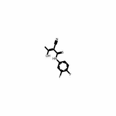 CC(O)=C(C#N)C(=S)Nc1ccc(F)c(F)c1